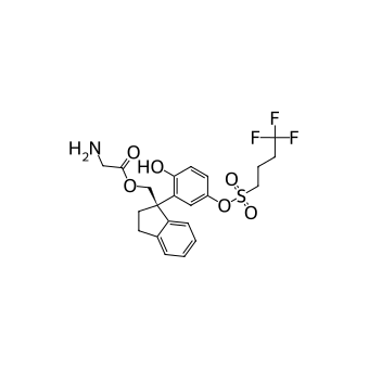 NCC(=O)OC[C@]1(c2cc(OS(=O)(=O)CCCC(F)(F)F)ccc2O)CCc2ccccc21